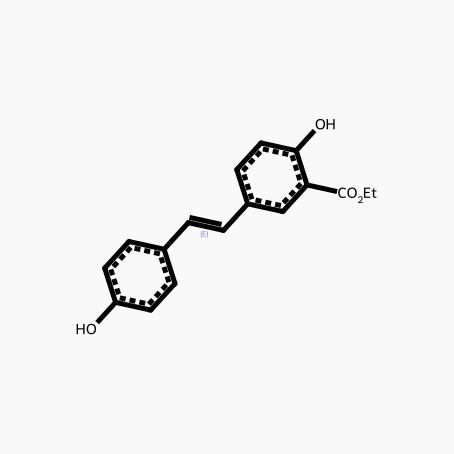 CCOC(=O)c1cc(/C=C/c2ccc(O)cc2)ccc1O